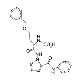 O=C(O)NC(CCOCc1ccccc1)C(=O)Nn1cccc1C(=O)Nc1ccccc1